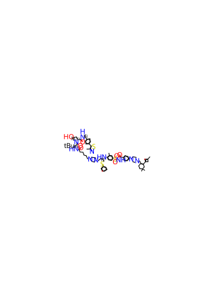 Cc1cc(S(=O)(=O)NC(=O)c2ccc(N3CCN(CC4=C(C56CC(C)(C5)C6)CC(C)(C)CC4)CC3)cc2)ccc1N[C@H](CCN1CCN(CCCCCC(=O)N[C@H](C(=O)N2C[C@H](O)C[C@H]2C(=O)N[C@@H](C)c2ccc(-c3scnc3C)cc2)C(C)(C)C)CC1)CSc1ccccc1